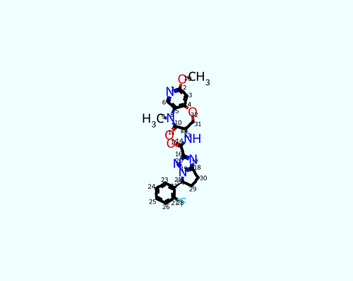 COc1cc2c(cn1)N(C)C(=O)[C@@H](NC(=O)c1nc3n(n1)[C@H](c1ccccc1F)CC3)CO2